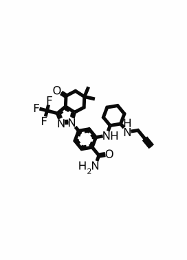 C#CCNC1CCCCC1Nc1cc(-n2nc(C(F)(F)F)c3c2CC(C)(C)CC3=O)ccc1C(N)=O